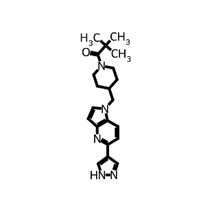 CC(C)(C)C(=O)N1CCC(Cn2ccc3nc(-c4cn[nH]c4)ccc32)CC1